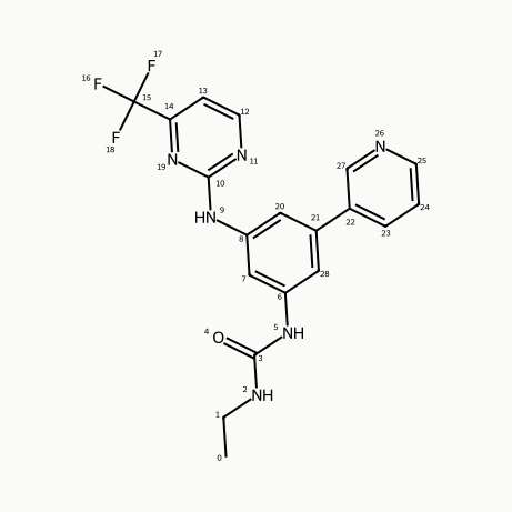 CCNC(=O)Nc1cc(Nc2nccc(C(F)(F)F)n2)cc(-c2cccnc2)c1